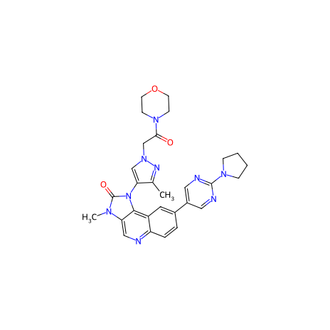 Cc1nn(CC(=O)N2CCOCC2)cc1-n1c(=O)n(C)c2cnc3ccc(-c4cnc(N5CCCC5)nc4)cc3c21